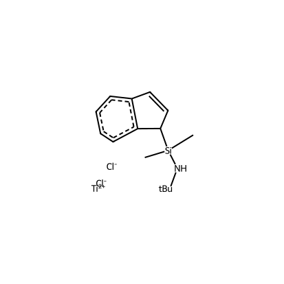 CC(C)(C)N[Si](C)(C)C1C=Cc2ccccc21.[Cl-].[Cl-].[Ti+2]